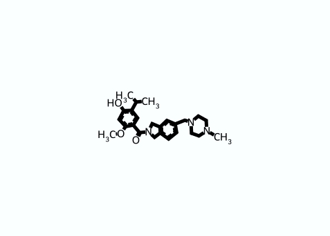 COc1cc(O)c(C(C)C)cc1C(=O)N1Cc2ccc(CN3CCN(C)CC3)cc2C1